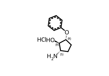 Cl.N[C@H]1CC[C@@H](Oc2ccccc2)[C@@H]1O